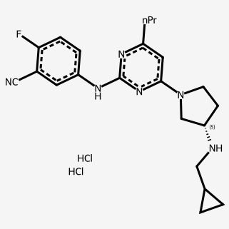 CCCc1cc(N2CC[C@H](NCC3CC3)C2)nc(Nc2ccc(F)c(C#N)c2)n1.Cl.Cl